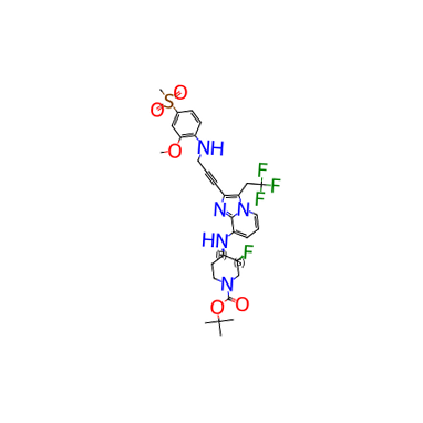 COc1cc(S(C)(=O)=O)ccc1NCC#Cc1nc2c(N[C@@H]3CCN(C(=O)OC(C)(C)C)C[C@@H]3F)cccn2c1CC(F)(F)F